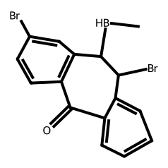 CBC1c2cc(Br)ccc2C(=O)c2ccccc2C1Br